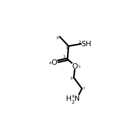 CC(S)C(=O)OCCN